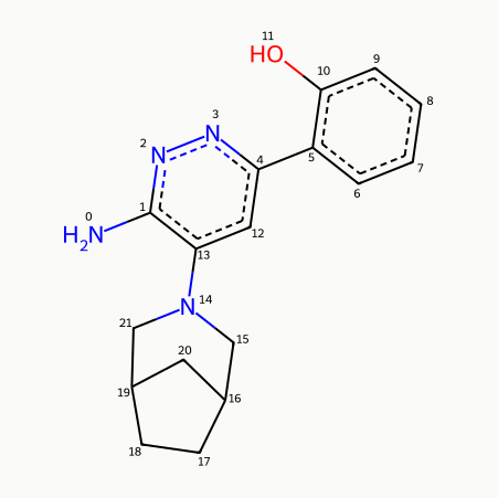 Nc1nnc(-c2ccccc2O)cc1N1CC2CCC(C2)C1